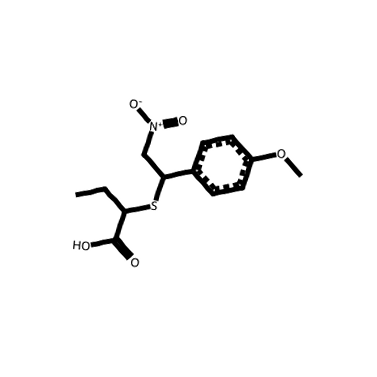 CCC(SC(C[N+](=O)[O-])c1ccc(OC)cc1)C(=O)O